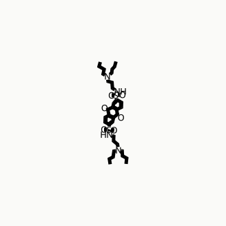 CCCCN(CCCC)CCCNS(=O)(=O)c1ccc2c(c1)C(=O)c1ccc(S(=O)(=O)NCCCN(CCCC)CCCC)cc1C2=O